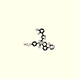 O=C(O)c1ccc(NC(=O)[C@@H]2c3cccc(N4CCOCC4=O)c3CCN2C(=O)C2CC(c3cccc(Cl)c3F)=NO2)cc1